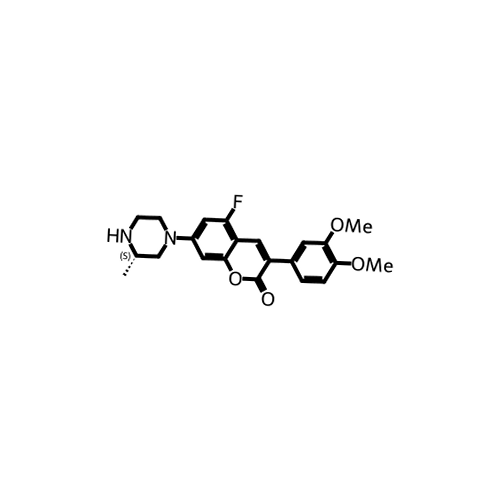 COc1ccc(-c2cc3c(F)cc(N4CCN[C@@H](C)C4)cc3oc2=O)cc1OC